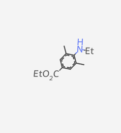 CCNc1c(C)cc(C(=O)OCC)cc1C